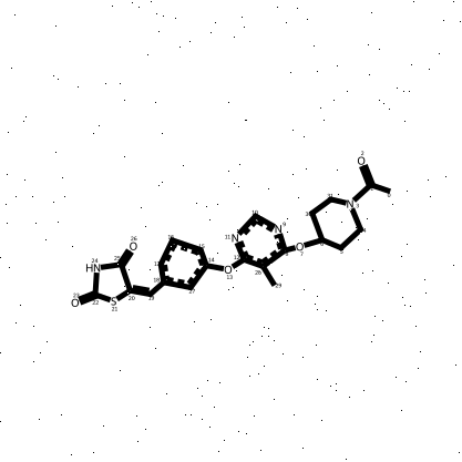 CC(=O)N1CCC(Oc2ncnc(Oc3cccc(C=C4SC(=O)NC4=O)c3)c2C)CC1